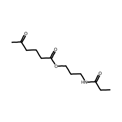 CCC(=O)NCCCOC(=O)CCCC(C)=O